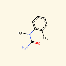 CN(C(N)=O)c1ccccc1C(F)(F)F